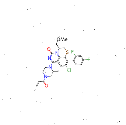 C=CC(=O)N1CCN(c2nc(=O)n3c4c(c(-c5ccc(F)cc5F)c(Cl)cc24)SC[C@@H]3COC)[C@@H](C)C1